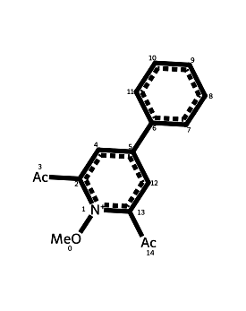 CO[n+]1c(C(C)=O)cc(-c2ccccc2)cc1C(C)=O